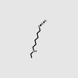 CCNCCCCCCN=[N+]=[N-]